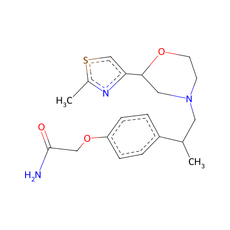 Cc1nc(C2CN(CC(C)c3ccc(OCC(N)=O)cc3)CCO2)cs1